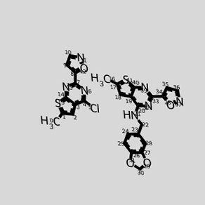 Cc1cc2c(Cl)nc(-c3ccno3)nc2s1.Cc1cc2c(NCc3ccc4c(c3)OCO4)nc(-c3ccno3)nc2s1